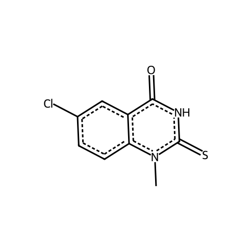 Cn1c(=S)[nH]c(=O)c2cc(Cl)ccc21